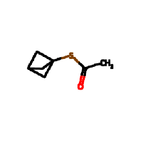 CC(=O)SC12CC(C1)C2